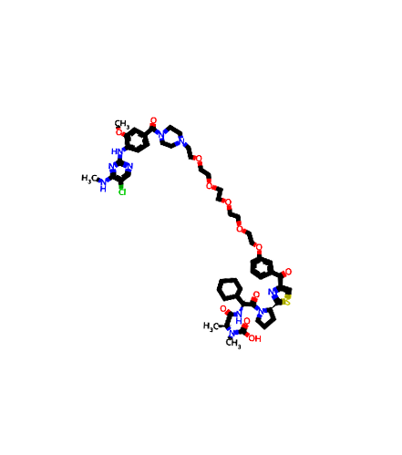 CNc1nc(Nc2ccc(C(=O)N3CCN(CCOCCOCCOCCOCCOc4cccc(C(=O)c5csc([C@@H]6CCCN6C(=O)[C@@H](NC(=O)[C@H](C)N(C)C(=O)O)C6CCCCC6)n5)c4)CC3)cc2OC)ncc1Cl